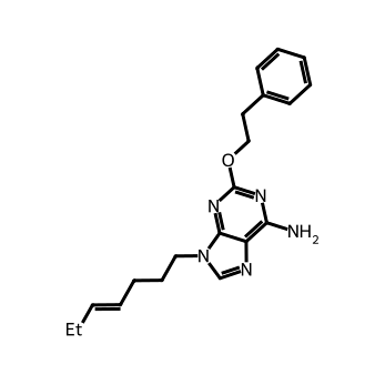 CCC=CCCCn1cnc2c(N)nc(OCCc3ccccc3)nc21